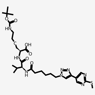 CSc1ncc(-c2cn(CCCCCC(=O)N[C@H](C(=O)N[C@@H](CCCCNC(=O)OC(C)(C)C)C(=O)O)C(C)C)nn2)cn1